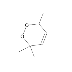 CC1C=CC(C)(C)OO1